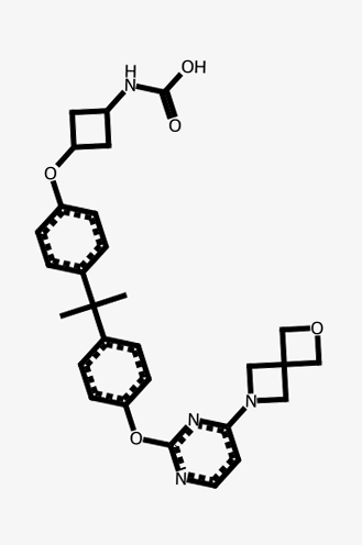 CC(C)(c1ccc(Oc2nccc(N3CC4(COC4)C3)n2)cc1)c1ccc(OC2CC(NC(=O)O)C2)cc1